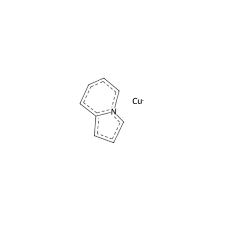 [Cu].c1ccn2cccc2c1